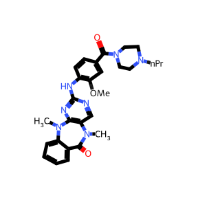 CCCN1CCN(C(=O)c2ccc(Nc3ncc4c(n3)N(C)c3ccccc3C(=O)N4C)c(OC)c2)CC1